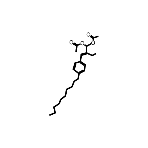 CCCCCCCCCCc1ccc(/C=C(\CC)C(OC(C)=O)OC(C)=O)cc1